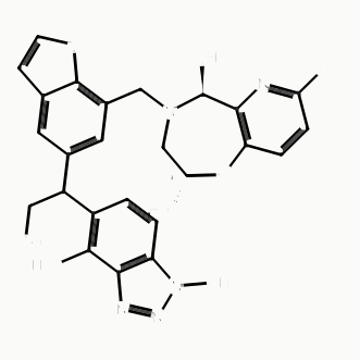 Cc1c(C(CC(=O)O)c2cc(CN3C[C@@H](C)Oc4ccc(O)nc4[C@@H]3C)c3sccc3c2)ccc2c1nnn2C